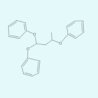 CC(CC(Oc1ccccc1)Oc1ccccc1)Oc1ccccc1